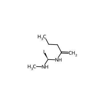 C=C(CCC)N[C@H](I)NC